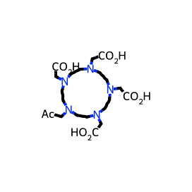 CC(=O)CN1CCN(CC(=O)O)CCN(CC(=O)O)CCN(CC(=O)O)CCN(CC(=O)O)CC1